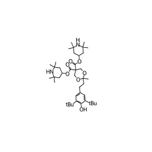 CC1(C)CC(OC(=O)C2(C(=O)OC3CC(C)(C)NC(C)(C)C3)COC(C)(CCc3cc(C(C)(C)C)c(O)c(C(C)(C)C)c3)OC2)CC(C)(C)N1